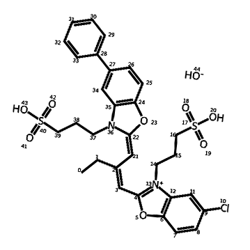 CCC(=Cc1oc2ccc(Cl)cc2[n+]1CCCS(=O)(=O)O)C=C1Oc2ccc(-c3ccccc3)cc2N1CCCS(=O)(=O)O.[OH-]